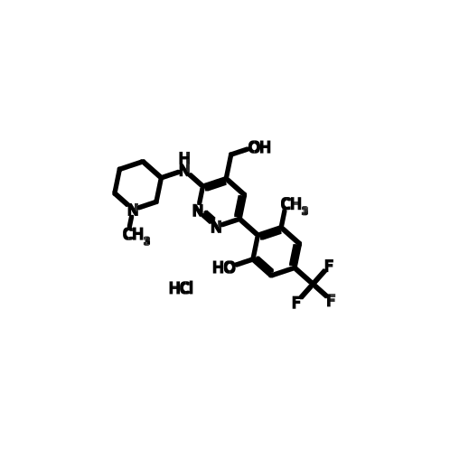 Cc1cc(C(F)(F)F)cc(O)c1-c1cc(CO)c(NC2CCCN(C)C2)nn1.Cl